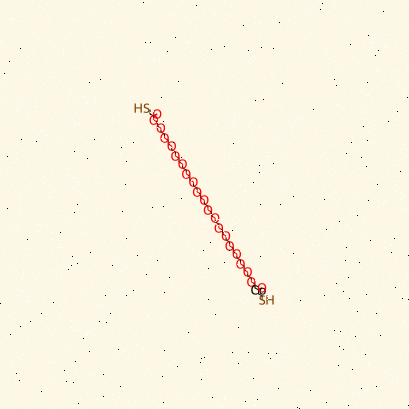 O=C(CCS)OCCOCCOCCOCCOCCOCCOCCOCCOCCOCCOCCOCCOCCOCCOCCOCCOCCOCCOC[CH2][Co](=[O])[CH2]CS